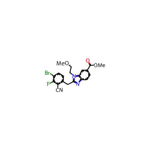 COCCn1c(Cc2ccc(Br)c(F)c2C#N)nc2ccc(C(=O)OC)cc21